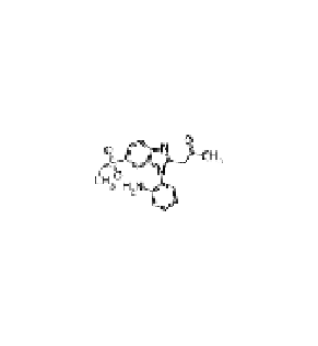 CCS(=O)(=O)c1ccc2nc(CC(C)=O)n(-c3ccccc3N)c2c1